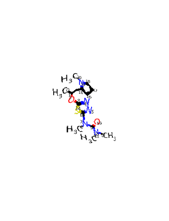 CC(Oc1nnc(N(C)C(=O)N(C)C)s1)c1cccn1C